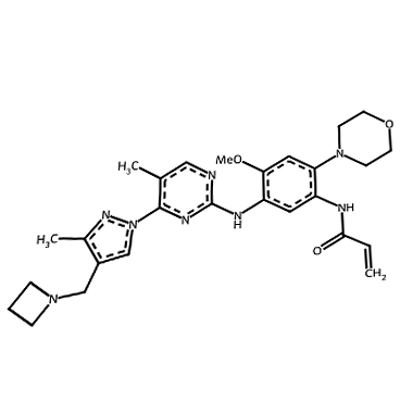 C=CC(=O)Nc1cc(Nc2ncc(C)c(-n3cc(CN4CCC4)c(C)n3)n2)c(OC)cc1N1CCOCC1